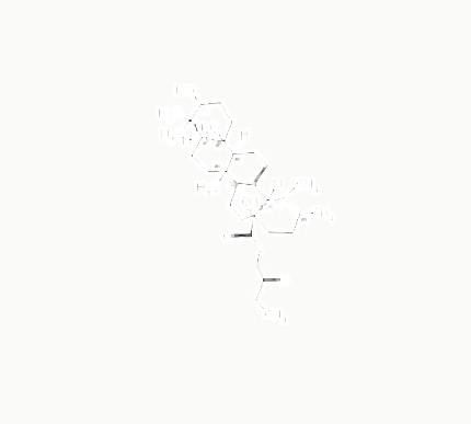 CCC(=O)COC(=O)[C@]12CC[C@@H](C)[C@H](C)[C@H]1C1=CC[C@@H]3[C@@]4(C)CC[C@H](O)C(C)(C)[C@@H]4CC[C@@]3(C)[C@]1(C)CC2